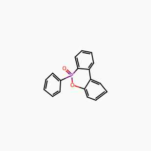 O=P1(c2ccccc2)Oc2ccccc2-c2ccccc21